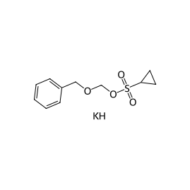 O=S(=O)(OCOCc1ccccc1)C1CC1.[KH]